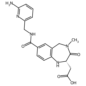 CN1Cc2cc(C(=O)NCc3cccc(N)n3)ccc2N[C@@H](CC(=O)O)C1=O